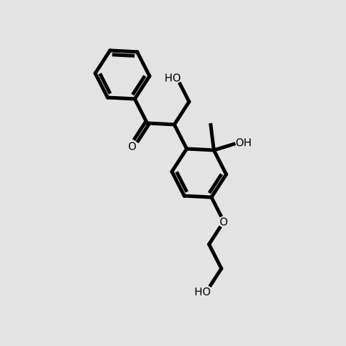 CC1(O)C=C(OCCO)C=CC1C(CO)C(=O)c1ccccc1